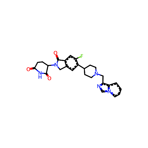 O=C1CCC(N2Cc3cc(C4CCN(Cc5ncn6ccccc56)CC4)c(F)cc3C2=O)C(=O)N1